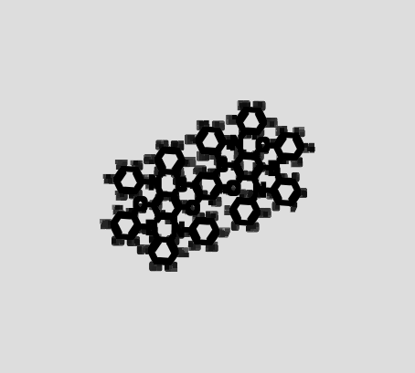 c1ccc(N2c3ccccc3B3c4ccccc4Oc4c3c2c2c3c4N(c4ccccc4)c4ccccc4B3c3cc4c(cc3O2)Oc2c3c(c5c6c2N(c2ccccc2)c2ccccc2B6c2ccccc2O5)N(c2ccccc2)c2ccccc2B43)cc1